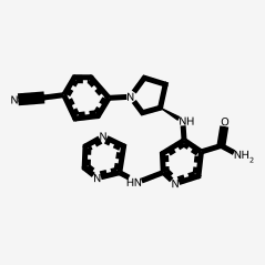 N#Cc1ccc(N2CC[C@@H](Nc3cc(Nc4cnccn4)ncc3C(N)=O)C2)cc1